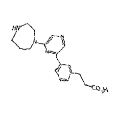 O=C(O)CCc1cncc(-c2cncc(N3CCCNCC3)n2)c1